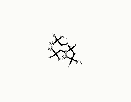 O=[N+]([O-])C(F)(COC(F)(CC(F)([N+](=O)[O-])[N+](=O)[O-])OCC(F)([N+](=O)[O-])[N+](=O)[O-])[N+](=O)[O-]